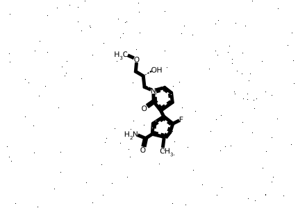 COC[C@H](O)Cn1cccc(-c2cc(C(N)=O)c(C)cc2F)c1=O